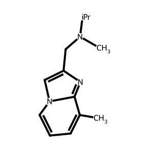 Cc1cccn2cc(CN(C)C(C)C)nc12